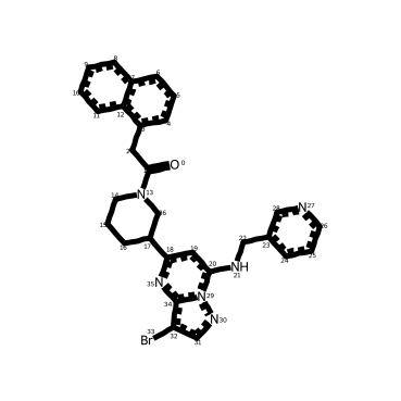 O=C(Cc1cccc2ccccc12)N1CCCC(c2cc(NCc3cccnc3)n3ncc(Br)c3n2)C1